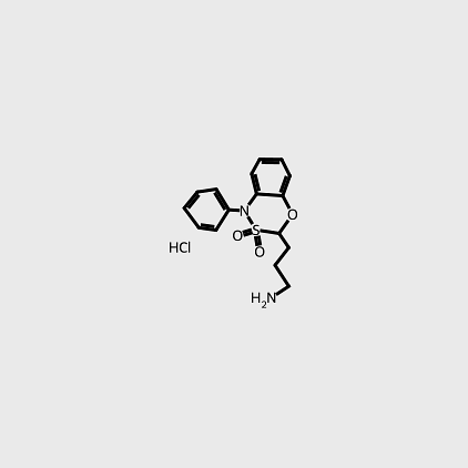 Cl.NCCCC1Oc2ccccc2N(c2ccccc2)S1(=O)=O